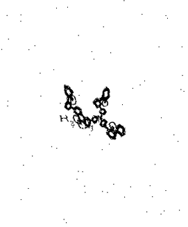 CC1(C)c2ccc(-c3ccc(N(c4ccc(-c5cccc6c5oc5ccccc56)cc4)c4cccc(-c5cccc6c5oc5ccccc56)c4)cc3)cc2-c2ccc(-c3cccc4c3oc3ccccc34)cc21